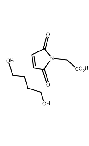 O=C(O)CN1C(=O)C=CC1=O.OCCCCO